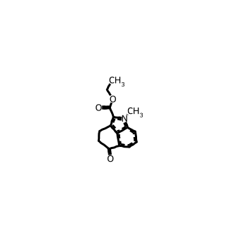 CCOC(=O)c1c2c3c(cccc3n1C)C(=O)CC2